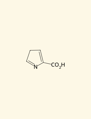 O=C(O)C1=CCC=N1